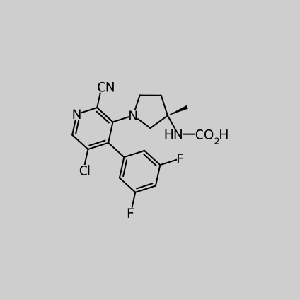 C[C@]1(NC(=O)O)CCN(c2c(C#N)ncc(Cl)c2-c2cc(F)cc(F)c2)C1